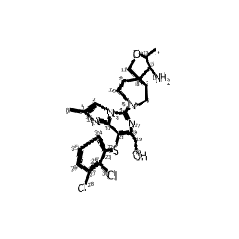 Cc1cn2c(N3CCC4(CC3)COC(C)C4N)nc(CO)c(Sc3cccc(Cl)c3Cl)c2n1